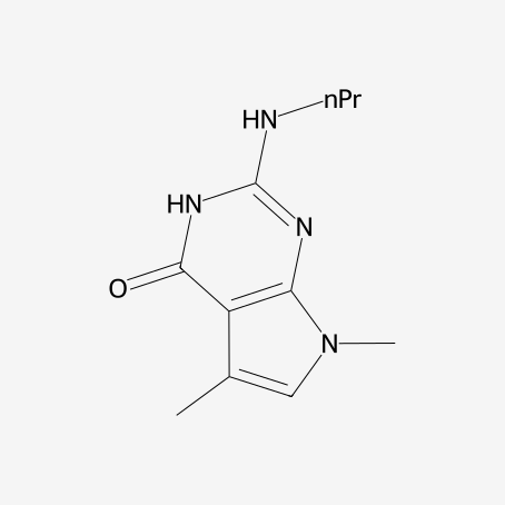 CCCNc1nc2c(c(C)cn2C)c(=O)[nH]1